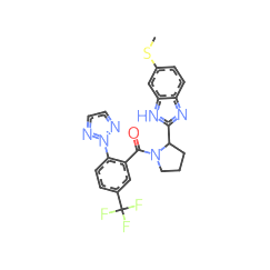 CSc1ccc2nc(C3CCCN3C(=O)c3cc(C(F)(F)F)ccc3-n3nccn3)[nH]c2c1